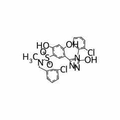 CN(Cc1cccc(Cl)c1)S(=O)(=O)c1cc(-c2nnc(O)n2-c2ccccc2Cl)c(O)cc1O